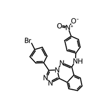 O=[N+]([O-])c1ccc(Nc2nn3c(-c4ccc(Br)cc4)nnc3c3ccccc23)cc1